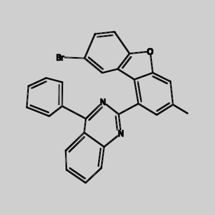 Cc1cc(-c2nc(-c3ccccc3)c3ccccc3n2)c2c(c1)oc1ccc(Br)cc12